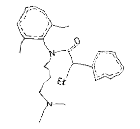 CCC(C(=O)N(CCCN(C)C)c1c(C)cccc1C)c1ccccc1